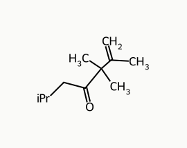 C=C(C)C(C)(C)C(=O)CC(C)C